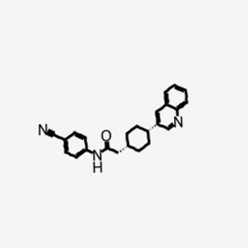 N#Cc1ccc(NC(=O)C[C@H]2CC[C@@H](c3cnc4ccccc4c3)CC2)cc1